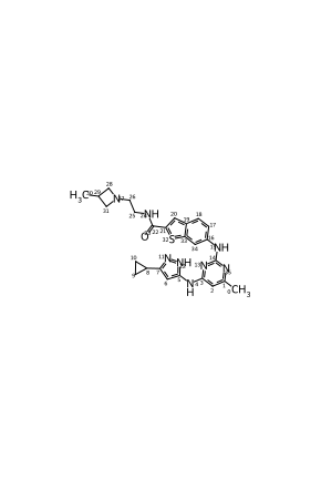 Cc1cc(Nc2cc(C3CC3)n[nH]2)nc(Nc2ccc3cc(C(=O)NCCN4CC(C)C4)sc3c2)n1